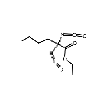 CCCCC(N=C=O)(N=C=O)C(=O)OCC